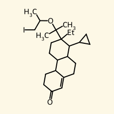 CCC1(C(C)(C)OC(C)CI)CCC2C3CCC(=O)C=C3CCC2C1C1CC1